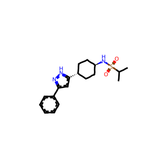 CC(C)S(=O)(=O)N[C@H]1CC[C@H](c2cc(-c3ccccc3)n[nH]2)CC1